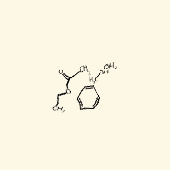 CCOC(C)=O.CO.O.c1ccccc1